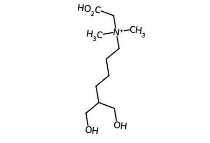 C[N+](C)(CCCCC(CO)CO)CC(=O)O